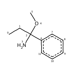 CCC(N)(OC)c1ccccc1